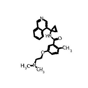 Cc1ccc(OCCN(C)C)cc1C(=O)NC1(c2cncc3ccccc23)CC1